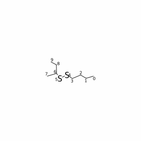 CCCCSSC(C)CC